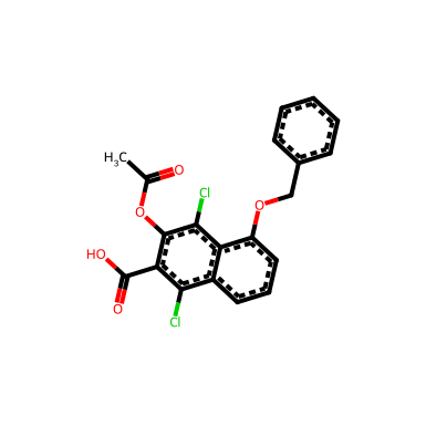 CC(=O)Oc1c(C(=O)O)c(Cl)c2cccc(OCc3ccccc3)c2c1Cl